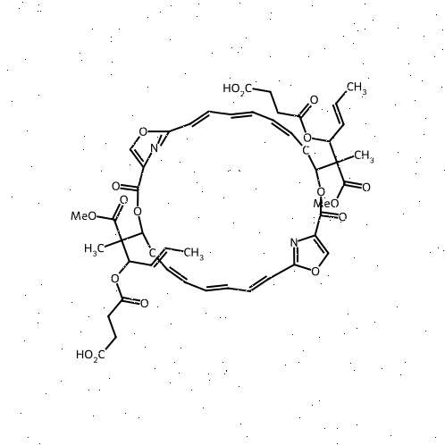 C/C=C/C(OC(=O)CCC(=O)O)C(C)(C(=O)OC)C1C\C=C/C=C/C=C/c2nc(co2)C(=O)OC(C(C)(C(=O)OC)C(/C=C/C)OC(=O)CCC(=O)O)C\C=C/C=C/C=C/c2nc(co2)C(=O)O1